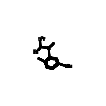 CCCC(CC)N(C)c1cc(C(C)(C)C)ccc1C